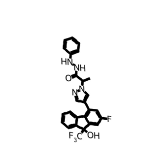 CC(C(=O)NNc1ccccc1)n1cc(-c2cc(F)cc3c2-c2ccccc2C3(O)C(F)(F)F)cn1